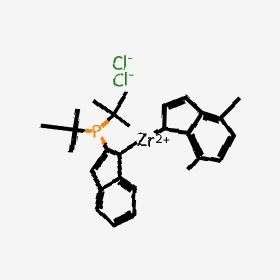 Cc1ccc(C)c2c1C=C[CH]2[Zr+2][CH]1C(P(C(C)(C)C)C(C)(C)C)=Cc2ccccc21.[Cl-].[Cl-]